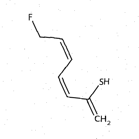 C=C(S)/C=C\C=C/CF